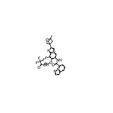 CC(C)Oc1c(NC(=O)c2cccc3ccnn23)cn2cc(C34COC(C)(C3)C4)nc2c1F.O=C(O)C(F)(F)F